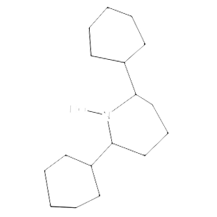 ON1C(C2CCCCC2)CCCC1C1CCCCC1